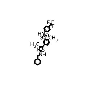 Cc1ccc(-c2sc(NCC3CCCCC3)nc2C)cc1S(=O)(=O)Nc1ccc(C(F)(F)F)cc1